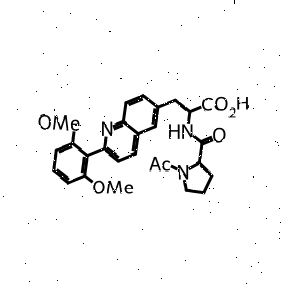 COc1cccc(OC)c1-c1ccc2cc(CC(NC(=O)C3CCCN3C(C)=O)C(=O)O)ccc2n1